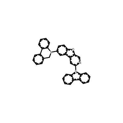 c1ccc2c(c1)CN(c1ccc3oc4cnc(-n5c6ccccc6c6ccccc65)cc4c3c1)c1ccccc1-2